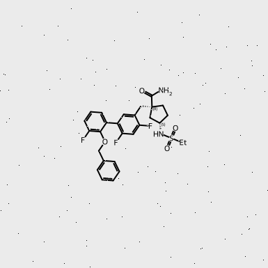 CCS(=O)(=O)N[C@H]1CC[C@](Cc2cc(-c3cccc(F)c3OCc3ccccc3)c(F)cc2F)(C(N)=O)C1